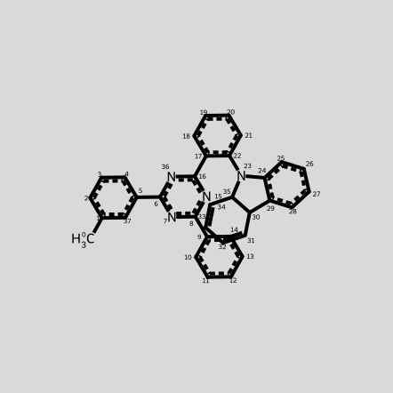 Cc1cccc(-c2nc(-c3ccccc3)nc(-c3ccccc3N3c4ccccc4C4C=CC=CC43)n2)c1